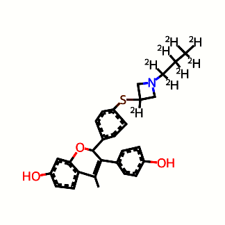 [2H]C1(Sc2ccc(C3Oc4cc(O)ccc4C(C)=C3c3ccc(O)cc3)cc2)CN(C([2H])([2H])C([2H])([2H])C([2H])([2H])[2H])C1